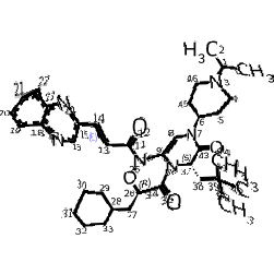 CC(C)N1CCC(N2C=C3N(C(=O)/C=C/c4cnc5ccccc5n4)O[C@H](CC4CCCCC4)C(=O)N3[C@@H](CC(C)(C)C)C2=O)CC1